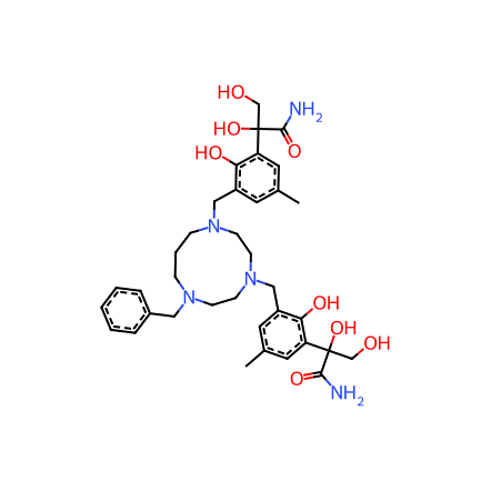 Cc1cc(CN2CCCN(Cc3ccccc3)CCN(Cc3cc(C)cc(C(O)(CO)C(N)=O)c3O)CC2)c(O)c(C(O)(CO)C(N)=O)c1